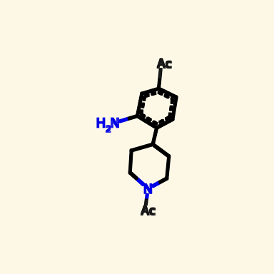 CC(=O)c1ccc(C2CCN(C(C)=O)CC2)c(N)c1